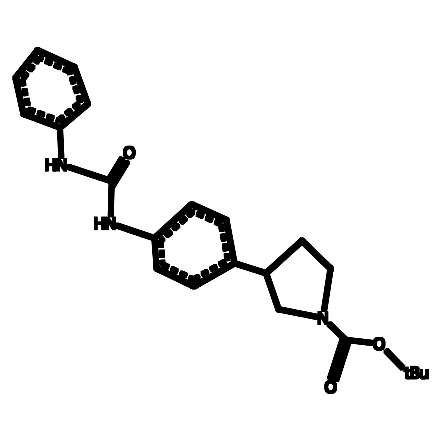 CC(C)(C)OC(=O)N1CCC(c2ccc(NC(=O)Nc3ccccc3)cc2)C1